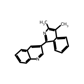 Cc1nc(-c2cnc3ccccc3c2)c2ccccc2c1C